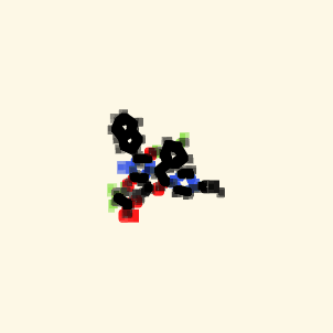 CC(C)C[C@@H]1C(=O)N[C@H](C2Cc3ccccc3C2)C(=O)N1[C@@H](C(=O)N1CCN(C)CC1)c1ccc(F)cc1F.O=C(O)C(F)(F)F